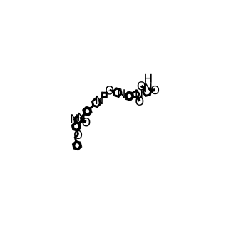 O=C1CCC(N2Cc3cc(N4CCC(O[C@H]5C[C@H](N6CCC(c7ccc(-n8cnc9ccc(OCc%10ccccc%10)cc9c8=O)cc7)CC6)C5)CC4)ccc3C2=O)C(=O)N1